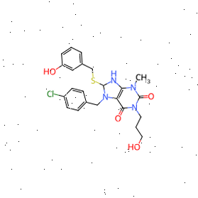 Cn1c2c(c(=O)n(CCCO)c1=O)N(Cc1ccc(Cl)cc1)C(SCc1cccc(O)c1)N2